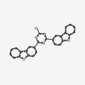 Clc1nc(-c2ccc3oc4ccccc4c3c2)nc(-c2ccc3oc4ccccc4c3c2)n1